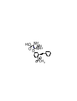 CS(=O)(=O)c1ccc(O/C(NN)=C(/N)C(=O)O)cc1C#Cc1ccccc1